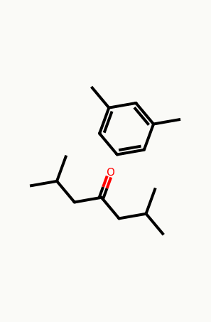 CC(C)CC(=O)CC(C)C.Cc1cccc(C)c1